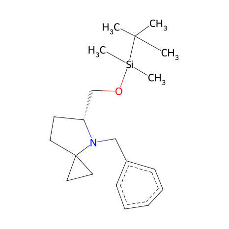 CC(C)(C)[Si](C)(C)OC[C@H]1CCC2(CC2)N1Cc1ccccc1